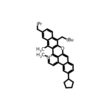 Cc1c2c(c(CC(C)(C)C)c3ccc(CC(C)C)cc13)Oc1cc3ccc(C4CCCC4)cc3c3cc[n+](C)c-2c13